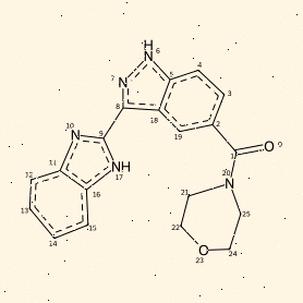 O=C(c1ccc2[nH]nc(-c3nc4ccccc4[nH]3)c2c1)N1CCOCC1